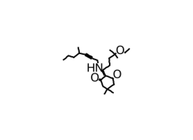 CCCC(C)C#CCNC(CCC(C)(C)OCC)=C1C(=O)CC(C)(C)CC1=O